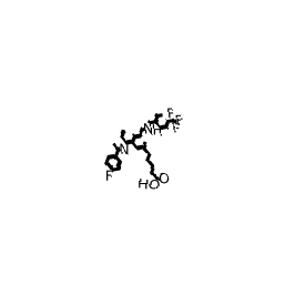 C=CC(/N=C(\C)c1ccc(F)cc1)=C(\C=C\CNCC(/C=C\CC(F)(F)F)=C/C)/C=C(\C)CCCCC(=O)O